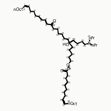 CCCCCCCC/C=C\CCCCCCCC(=O)CCCCCCC(O)(CCCCCOOC(=O)CCCCCCC/C=C\CCCCCCCC)CCCCN(CCC)CCC